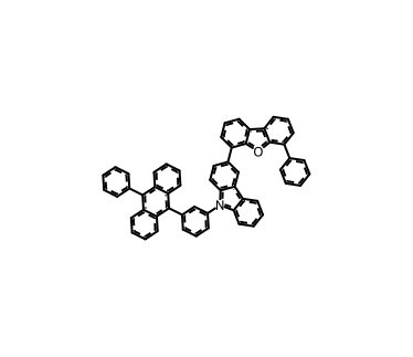 c1ccc(-c2c3ccccc3c(-c3cccc(-n4c5ccccc5c5cc(-c6cccc7c6oc6c(-c8ccccc8)cccc67)ccc54)c3)c3ccccc23)cc1